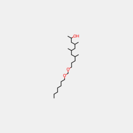 CCCCCCCOCOCCCC(C)CC(C)CC(C)CC(C)O